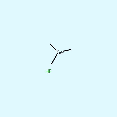 F.[CH3][Ge]([CH3])[CH3]